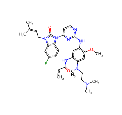 C=CC(=O)Nc1cc(Nc2nccc(-n3c(=O)n(CC=C(C)C)c4cc(F)ccc43)n2)c(OC)cc1N(C)CCN(C)C